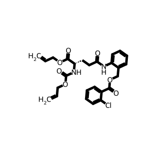 C=CCOC(=O)N[C@@H](CCC(=O)Nc1ccccc1COC(=O)c1ccccc1Cl)C(=O)OCC=C